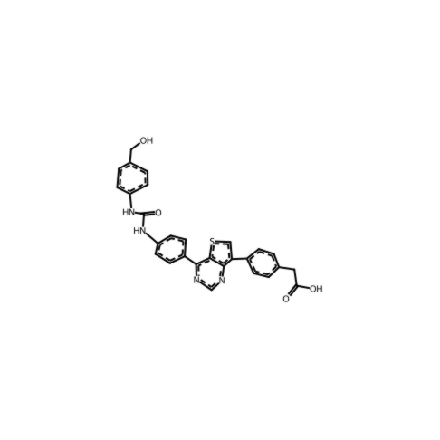 O=C(O)Cc1ccc(-c2csc3c(-c4ccc(NC(=O)Nc5ccc(CO)cc5)cc4)ncnc23)cc1